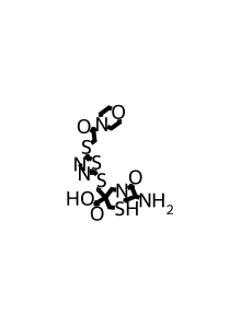 NC1C(=O)N2CC(CSc3nnc(SCC(=O)N4CCOCC4)s3)(C(=O)O)CS[C@H]12